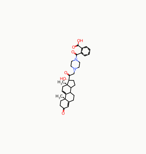 C[C@]12CCC(=O)C=C1CCC1C2=CC[C@@]2(C)C1CC[C@]2(O)C(=O)CN1CCN(C(=O)c2ccccc2C(=O)O)CC1